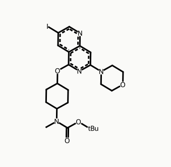 CN(C(=O)OC(C)(C)C)C1CCC(Oc2nc(N3CCOCC3)cc3ncc(I)cc23)CC1